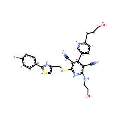 N#Cc1c(NCCO)nc(SCc2csc(-c3ccc(Cl)cc3)n2)c(C#N)c1-c1ccc(CCCO)nc1